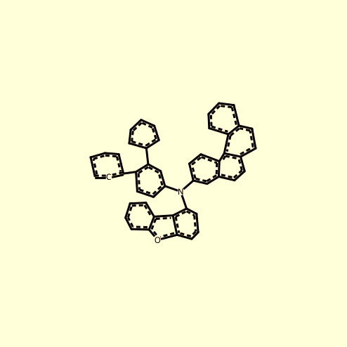 c1ccc(-c2ccc(N(c3ccc4c(ccc5ccc6ccccc6c54)c3)c3cccc4oc5ccccc5c34)cc2-c2ccccc2)cc1